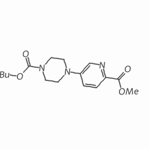 CCCCOC(=O)N1CCN(c2ccc(C(=O)OC)nc2)CC1